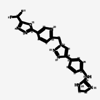 FC(F)c1nnc(-c2ccc(Cn3cc(-c4ccc(NC5=NCCN5)cc4)nn3)nc2)o1